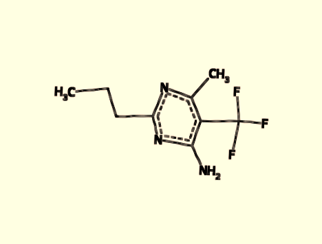 CCCc1nc(C)c(C(F)(F)F)c(N)n1